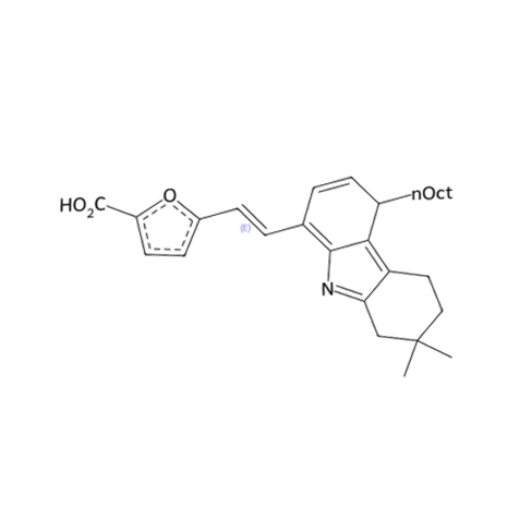 CCCCCCCCC1C=CC(/C=C/c2ccc(C(=O)O)o2)=C2N=C3CC(C)(C)CCC3=C21